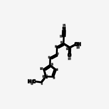 CCn1ccc(C=CC=C(C#N)C(=O)O)c1